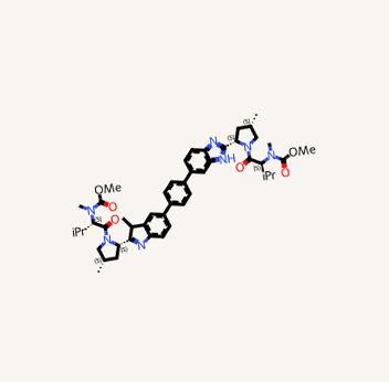 COC(=O)N(C)[C@H](C(=O)N1C[C@@H](C)C[C@H]1C1=Nc2ccc(-c3ccc(-c4ccc5nc([C@@H]6C[C@H](C)CN6C(=O)[C@H](C(C)C)N(C)C(=O)OC)[nH]c5c4)cc3)cc2C1C)C(C)C